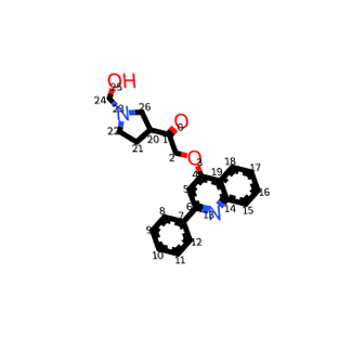 O=C(COc1cc(-c2ccccc2)nc2ccccc12)C1CCN(CO)C1